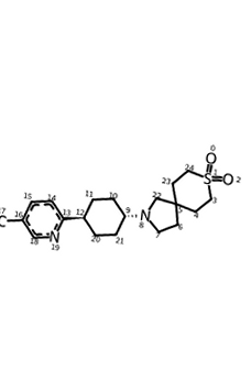 O=S1(=O)CCC2(CCN([C@H]3CC[C@H](c4ccc(C(F)(F)F)cn4)CC3)C2)CC1